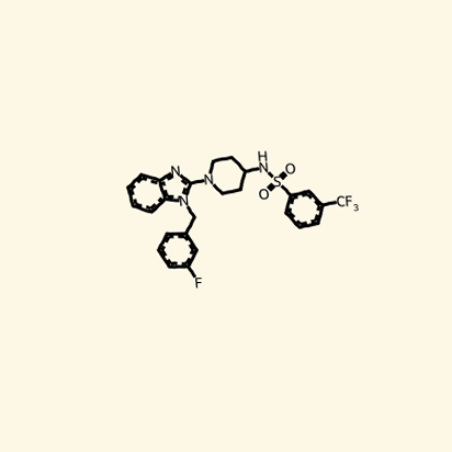 O=S(=O)(NC1CCN(c2nc3ccccc3n2Cc2cccc(F)c2)CC1)c1cccc(C(F)(F)F)c1